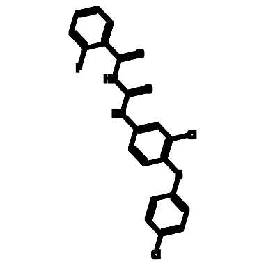 O=C(NC(=O)c1ccccc1F)Nc1ccc(Sc2ccc(Cl)cc2)c(Cl)c1